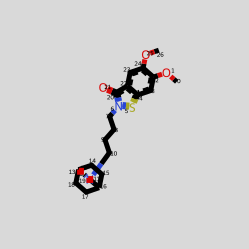 COc1cc2sn(CCCCN3CC4CCC(CC4)C3)c(=O)c2cc1OC